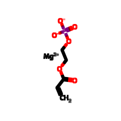 C=CC(=O)OCCOP(=O)([O-])[O-].[Mg+2]